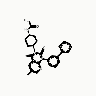 CC(=O)N[C@H]1CC[C@@H](n2c(=O)c3cc(F)cnc3n(-c3cccc(-c4ccccc4)c3)c2=O)CC1